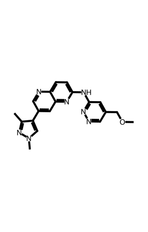 COCc1cnnc(Nc2ccc3ncc(-c4cn(C)nc4C)cc3n2)c1